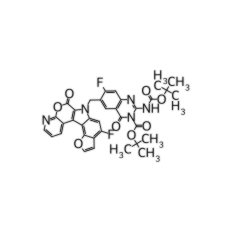 CC(C)(C)OC(=O)Nc1nc2cc(F)c(Cn3c4cc(F)c5ccoc5c4c4c5cccnc5oc(=O)c43)cc2c(=O)n1C(=O)OC(C)(C)C